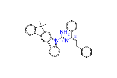 CC1(C)c2ccccc2-c2cc3c4ccccc4n(/C(N)=N/C(=C\Cc4ccccc4)c4ccccc4)c3cc21